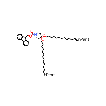 CCCCCC=CCC=CCCCCCCCCOC1(OCCCCCCCCC=CCC=CCCCCC)CCN(C(=O)OCC2c3ccccc3-c3ccccc32)CC1